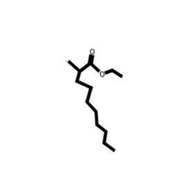 [CH2]C(CCCCCCCC)C(=O)OCC